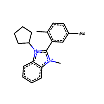 Cc1ccc(C(C)(C)C)cc1-c1n(C2CCCC2)c2ccccc2[n+]1C